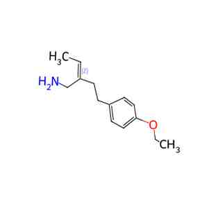 C/C=C(\CN)CCc1ccc(OCC)cc1